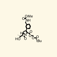 COC(=O)NCc1cccc(C2=C(C(=O)OCOC(=O)C(C)(C)C)N3C(=O)[C@H]([C@@H](C)O)[C@H]3C2)c1